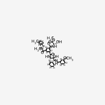 COC(=O)[C@H](CO)NC(=O)c1cc(C(=O)N[C@@H](Cc2ccccc2)[C@H](O)CNCc2cccc(OC)c2)cc(C(=O)N(C)Cc2nc(C)cs2)c1